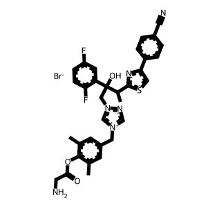 Cc1cc(C[n+]2cnn(CC(O)(c3cc(F)ccc3F)C(C)c3nc(-c4ccc(C#N)cc4)cs3)c2)cc(C)c1OC(=O)CN.[Br-]